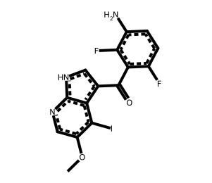 COc1cnc2[nH]cc(C(=O)c3c(F)ccc(N)c3F)c2c1I